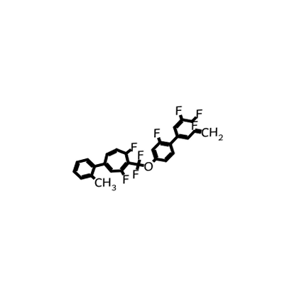 C=C(F)/C=C(\C=C(\F)CF)c1ccc(OC(F)(F)C2=C(F)C=C(c3ccccc3C)C=CC2F)cc1F